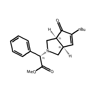 CCCCC1=C[C@H]2CN([C@H](C(=O)OC)c3ccccc3)C[C@H]2C1=O